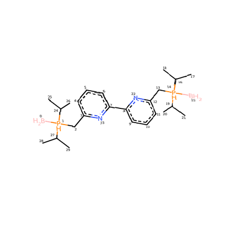 B[PH](Cc1cccc(-c2cccc(C[PH](B)(C(C)C)C(C)C)n2)n1)(C(C)C)C(C)C